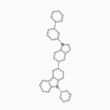 c1ccc(-c2cccc(-n3ccc4cc(-c5ccc6c(c5)c5ccccc5n6-c5ccccc5)ccc43)c2)cc1